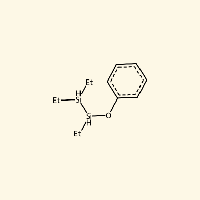 CC[SiH](CC)[SiH](CC)Oc1ccccc1